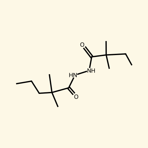 CCCC(C)(C)C(=O)NNC(=O)C(C)(C)CC